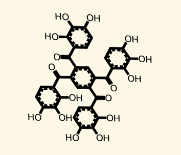 O=C(c1cc(C(=O)c2ccc(O)c(O)c2O)c(C(=O)c2ccc(O)c(O)c2O)cc1C(=O)c1ccc(O)c(O)c1O)c1ccc(O)c(O)c1O